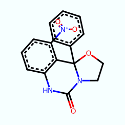 O=C1Nc2cccc([N+](=O)[O-])c2C2(c3ccccc3)OCCN12